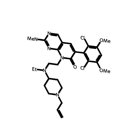 C=CCN1CCC(N(CC)CCn2c(=O)c(-c3c(Cl)c(OC)cc(OC)c3Cl)cc3cnc(NC)nc32)CC1